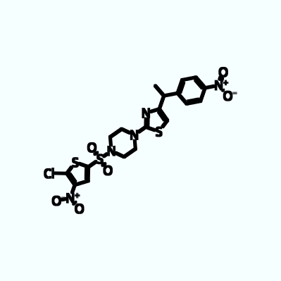 CC(c1ccc([N+](=O)[O-])cc1)c1csc(N2CCN(S(=O)(=O)c3cc([N+](=O)[O-])c(Cl)s3)CC2)n1